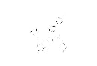 C[N+](C)(Cc1ccc(F)cc1)Cc1nnc(Cn2c(SCc3ccc(F)cc3)nc(=O)c3c2CCC3)n1Cc1ccc(-c2ccc(C(F)(F)F)cc2)cc1